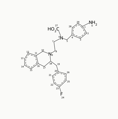 Nc1ccc(CN(CCN2Cc3ccccc3CC2Cc2ccc(F)cc2)C(=O)O)cc1